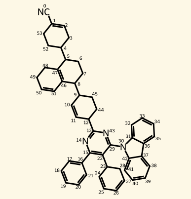 N#CC1=CCC(C2CCC(C3C=CC(c4nc(-c5ccccc5)c(C5C=CC=CC5)c(-n5c6ccccc6c6ccccc65)n4)CC3)C3=C2CCC=C3)CC1